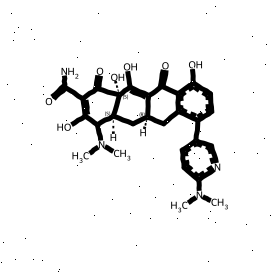 CN(C)c1ccc(-c2ccc(O)c3c2C[C@H]2C[C@H]4C(N(C)C)C(O)=C(C(N)=O)C(=O)[C@@]4(O)C(O)=C2C3=O)cn1